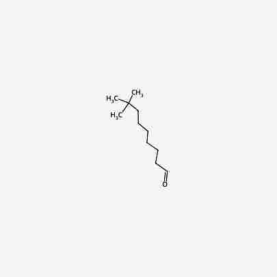 CC(C)(C)CCCCCC[C]=O